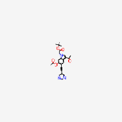 CC(=O)Oc1cc2c(cc1C#Cc1cncnc1)c(C(C)=O)cn2CC(=O)OC(C)(C)C